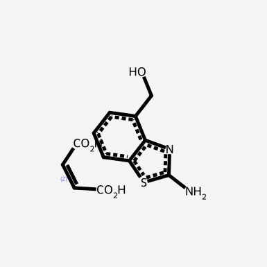 Nc1nc2c(CO)cccc2s1.O=C(O)/C=C\C(=O)O